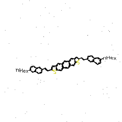 CCCCCCc1ccc2cc(/C=C/c3cc4cc5cc6cc7cc(/C=C/c8ccc9cc(CCCCCC)ccc9c8)sc7cc6cc5cc4s3)ccc2c1